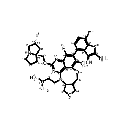 CN(C)CCN1c2nc(OC[C@@]34CCCN3C[C@H](F)C4)nc3c(F)c(-c4ccc(F)c5sc(N)c(C#N)c45)c(Cl)c(c23)OCC2COCC21